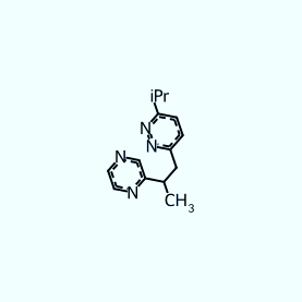 CC(C)c1ccc(CC(C)c2cnccn2)nn1